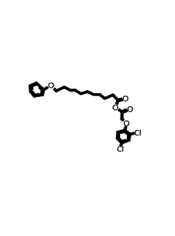 O=C(CCCCCCCCCCOc1ccccc1)OC(=O)COc1ccc(Cl)cc1Cl